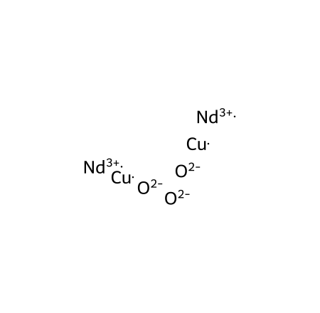 [Cu].[Cu].[Nd+3].[Nd+3].[O-2].[O-2].[O-2]